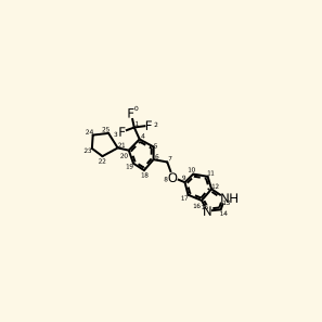 FC(F)(F)c1cc(COc2ccc3[nH]cnc3c2)ccc1C1CCCC1